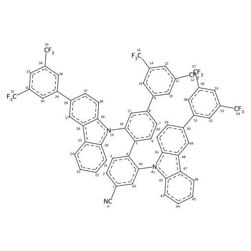 N#Cc1ccc(-c2ccc(-c3cc(C(F)(F)F)cc(C(F)(F)F)c3)cc2-n2c3ccccc3c3cc(-c4cc(C(F)(F)F)cc(C(F)(F)F)c4)ccc32)c(-n2c3ccccc3c3cc(-c4cc(C(F)(F)F)cc(C(F)(F)F)c4)ccc32)c1